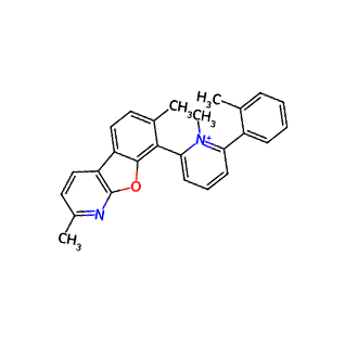 Cc1ccc2c(n1)oc1c(-c3cccc(-c4ccccc4C)[n+]3C)c(C)ccc12